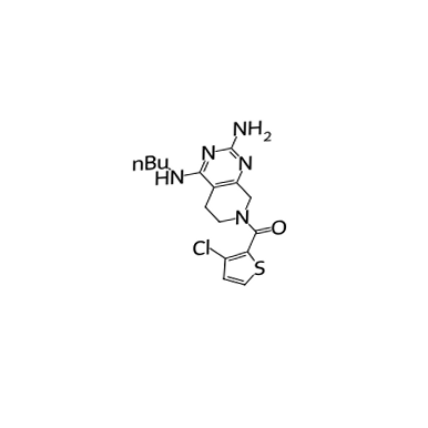 CCCCNc1nc(N)nc2c1CCN(C(=O)c1sccc1Cl)C2